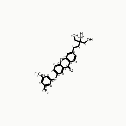 NC(CO)(CO)CCc1ccc2c(=O)c3cc(Oc4cc(C(F)(F)F)cc(C(F)(F)F)c4)ccc3oc2c1